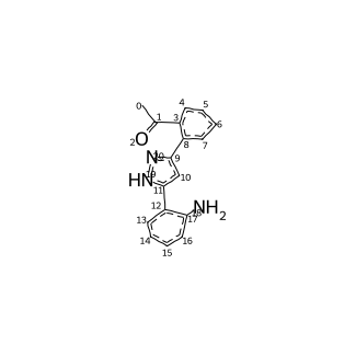 CC(=O)c1ccccc1-c1cc(-c2ccccc2N)[nH]n1